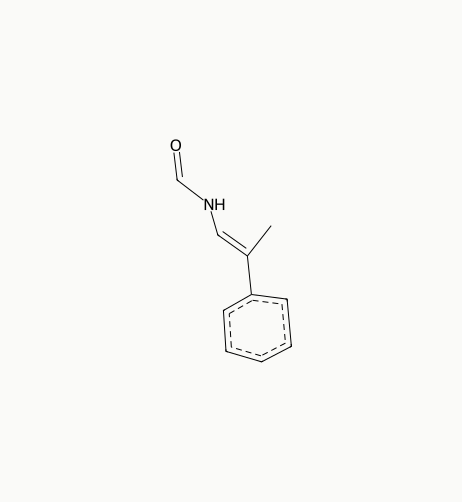 CC(=CNC=O)c1ccccc1